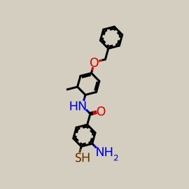 CC1C=C(OCc2ccccc2)C=CC1NC(=O)c1ccc(S)c(N)c1